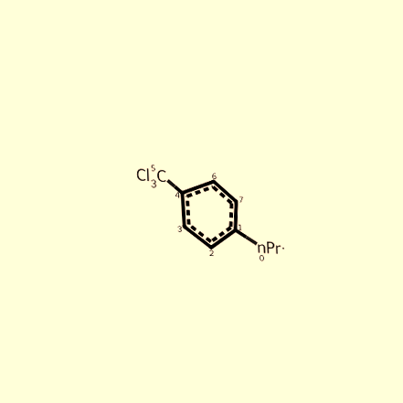 CC[CH]c1ccc(C(Cl)(Cl)Cl)cc1